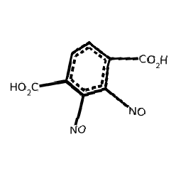 O=Nc1c(C(=O)O)ccc(C(=O)O)c1N=O